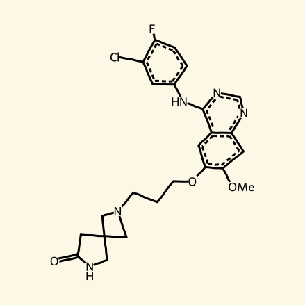 COc1cc2ncnc(Nc3ccc(F)c(Cl)c3)c2cc1OCCCN1CC2(CNC(=O)C2)C1